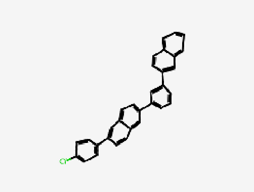 Clc1ccc(-c2ccc3cc(-c4cccc(-c5ccc6ccccc6c5)c4)ccc3c2)cc1